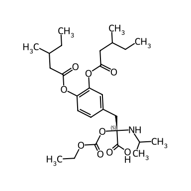 CCOC(=O)O[C@](Cc1ccc(OC(=O)CC(C)CC)c(OC(=O)CC(C)CC)c1)(NC(C)C)C(=O)O